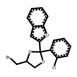 Clc1ccccc1C1(c2cc3ccccc3o2)OCC(CBr)O1